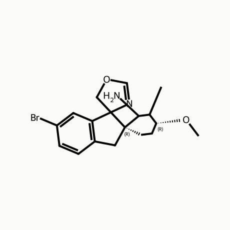 CO[C@@H]1CC[C@@]2(Cc3ccc(Br)cc3C23COC=N3)C(N)C1C